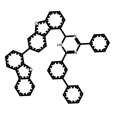 c1ccc(C2=NC(c3cccc4oc5cc(-c6cccc7c6sc6ccccc67)ccc5c34)NC(c3cccc(-c4ccccc4)c3)=N2)cc1